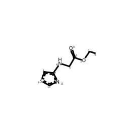 CCOC(=O)CNc1cscn1